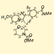 CNC(=O)c1cc(F)c(-c2nc3cc(C)ccn3c2C[C@@H]2CN(C(=O)OC)CCCO2)c(F)c1